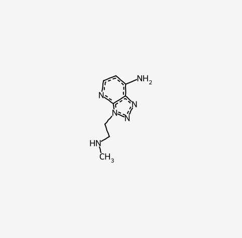 CNCCn1nnc2c(N)ccnc21